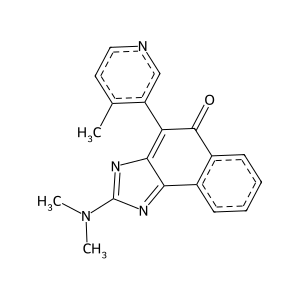 Cc1ccncc1C1=C2N=C(N(C)C)N=C2c2ccccc2C1=O